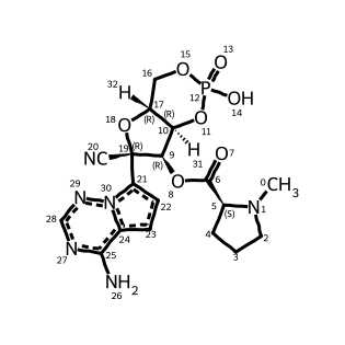 CN1CCC[C@H]1C(=O)O[C@@H]1[C@@H]2OP(=O)(O)OC[C@H]2O[C@@]1(C#N)c1ccc2c(N)ncnn12